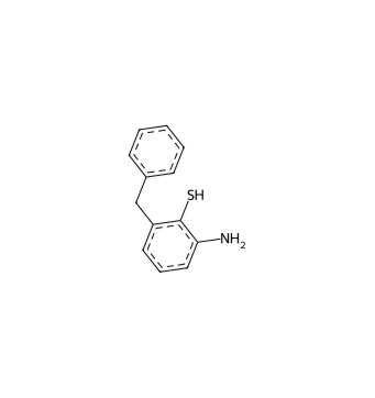 Nc1cccc(Cc2ccccc2)c1S